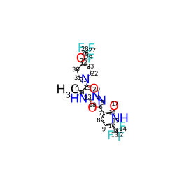 C[C@H](Nc1nnc(-c2ccc(C(F)(F)F)[nH]c2=O)o1)C(=O)N1CCC(OC(F)(F)F)CC1